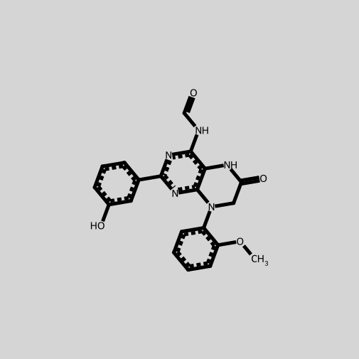 COc1ccccc1N1CC(=O)Nc2c(NC=O)nc(-c3cccc(O)c3)nc21